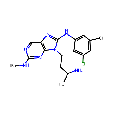 Cc1cc(Cl)cc(Nc2nc3cnc(NC(C)(C)C)nc3n2CCC(C)N)c1